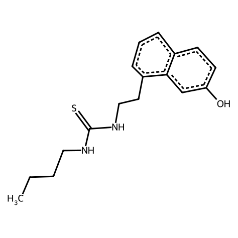 CCCCNC(=S)NCCc1cccc2ccc(O)cc12